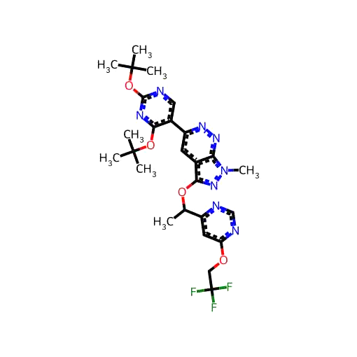 CC(Oc1nn(C)c2nnc(-c3cnc(OC(C)(C)C)nc3OC(C)(C)C)cc12)c1cc(OCC(F)(F)F)ncn1